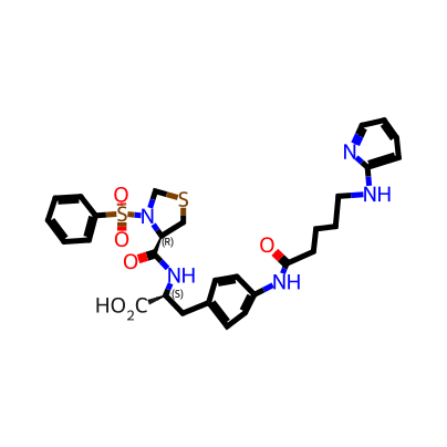 O=C(CCCCNc1ccccn1)Nc1ccc(C[C@H](NC(=O)[C@@H]2CSCN2S(=O)(=O)c2ccccc2)C(=O)O)cc1